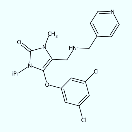 CC(C)n1c(Oc2cc(Cl)cc(Cl)c2)c(CNCc2ccncc2)n(C)c1=O